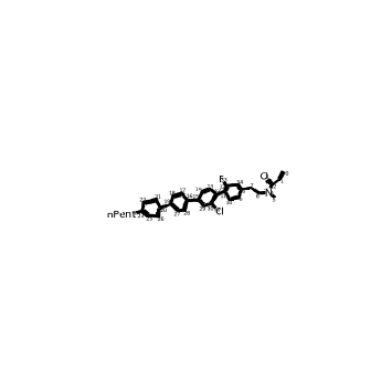 C=CC(=O)N(C)CCc1ccc(-c2ccc(-c3ccc(-c4ccc(CCCCC)cc4)cc3)cc2Cl)c(F)c1